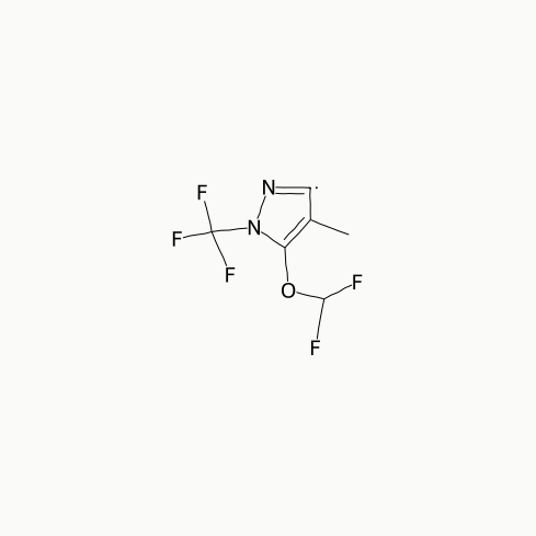 Cc1[c]nn(C(F)(F)F)c1OC(F)F